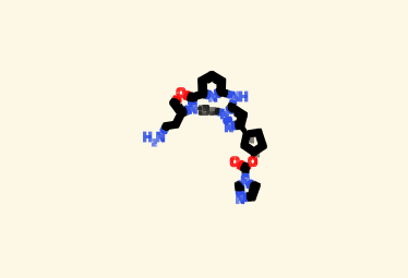 CC(C)(C)n1nc([C@H]2CC[C@@H](OC(=O)n3ccnc3)C2)cc1Nc1cccc(-c2nc(CCN)co2)n1